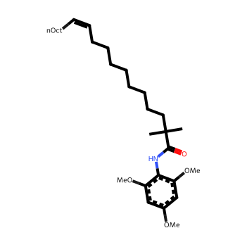 CCCCCCCC/C=C\CCCCCCCCC(C)(C)C(=O)Nc1c(OC)cc(OC)cc1OC